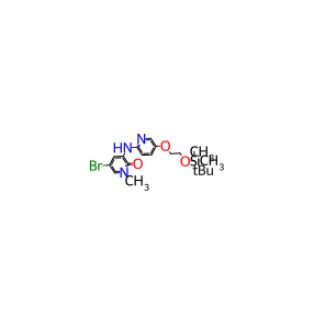 Cn1cc(Br)cc(Nc2ccc(OCCO[Si](C)(C)C(C)(C)C)cn2)c1=O